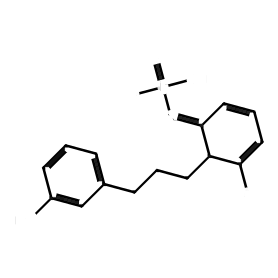 O=P(O)(O)N=C1C=CC=C(O)C1CCCc1cccc(O)c1